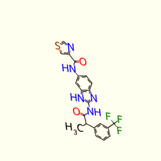 CC(C(=O)Nc1nc2ccc(NC(=O)c3cscn3)cc2[nH]1)c1cccc(C(F)(F)F)c1